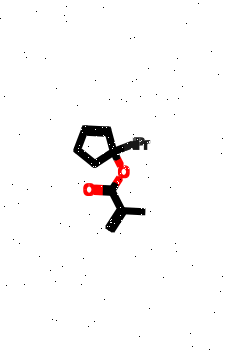 C=C(C)C(=O)OC1(C(C)C)C=CCC1